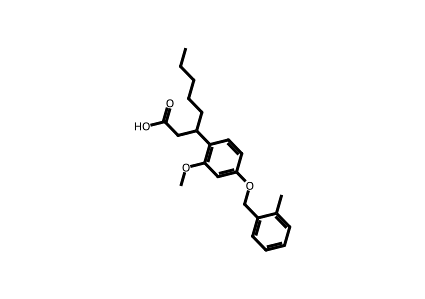 CCCCCC(CC(=O)O)c1ccc(OCc2ccccc2C)cc1OC